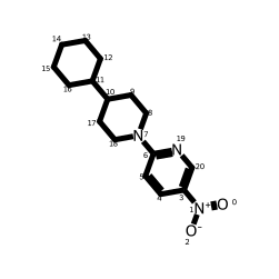 O=[N+]([O-])c1ccc(N2CCC(C3CCCCC3)CC2)nc1